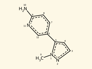 Cn1nccc1-c1ccc(N)nc1